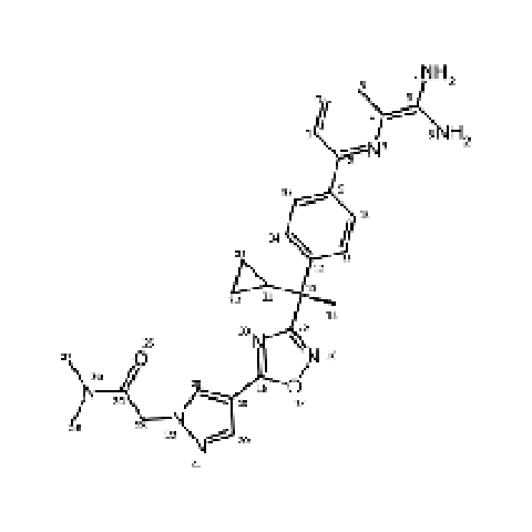 C=C/C(=N\C(C)=C(N)N)c1ccc([C@](C)(c2noc(-c3cnn(CC(=O)N(C)C)c3)n2)C2CC2)cc1